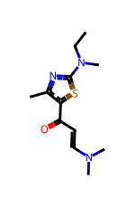 CCN(C)c1nc(C)c(C(=O)C=CN(C)C)s1